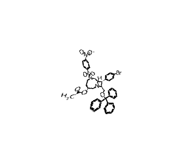 CC(=O)O[C@H]1CCN(S(=O)(=O)c2ccc([N+](=O)[O-])cc2)C[C@H]2[C@@H](c3ccc(Br)cc3)[C@@H](COC(c3ccccc3)(c3ccccc3)c3ccccc3)N2C1